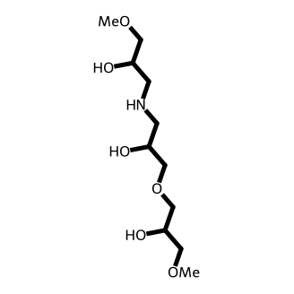 COCC(O)CNCC(O)COCC(O)COC